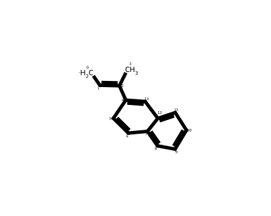 [CH2]C=C(C)c1ccc2ccccc2c1